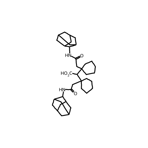 O=C(CC1(C(C(=O)O)C2(CC(=O)NC3C4CC5CC(C4)CC3C5)CCCCC2)CCCCC1)NC1C2CC3CC(C2)CC1C3